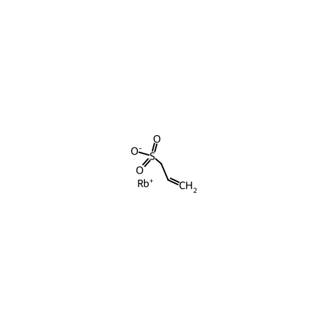 C=CCS(=O)(=O)[O-].[Rb+]